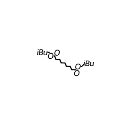 CCC(C)COC(=O)CCCCCCCC(=O)OCC(C)CC